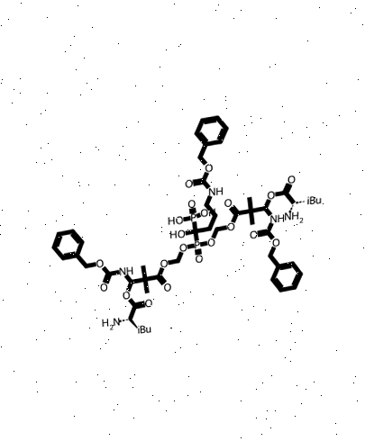 CC[C@H](C)[C@H](N)C(=O)OC(NC(=O)OCc1ccccc1)C(C)(C)C(=O)OCOP(=O)(OCOC(=O)C(C)(C)C(NC(=O)OCc1ccccc1)OC(=O)[C@@H](N)[C@@H](C)CC)C(O)(CCCNC(=O)OCc1ccccc1)P(=O)(O)O